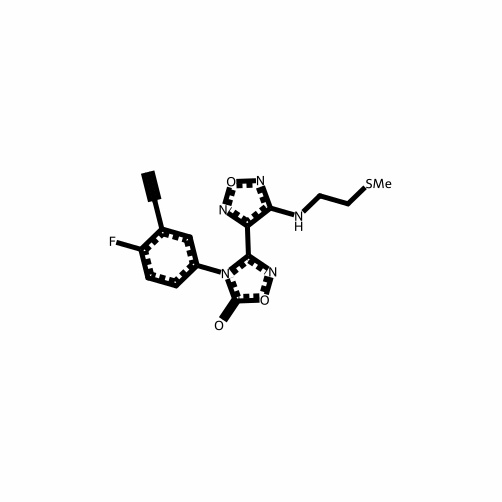 C#Cc1cc(-n2c(-c3nonc3NCCSC)noc2=O)ccc1F